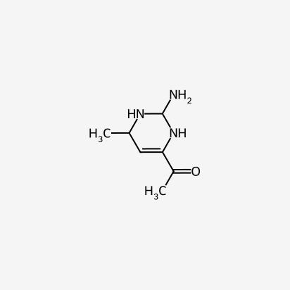 CC(=O)C1=CC(C)NC(N)N1